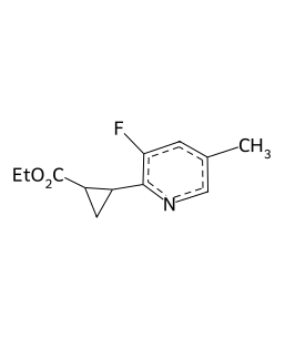 CCOC(=O)C1CC1c1ncc(C)cc1F